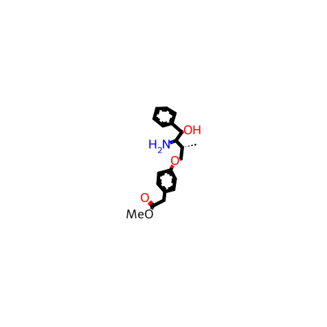 COC(=O)Cc1ccc(OC[C@@H](C)C(N)C(O)c2ccccc2)cc1